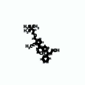 C=C=c1/c(=C(\N=C/C)c2cnn(C(CCO)c3ccccc3)c2)ccn1COCC[Si](C)(C)C